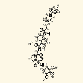 COc1cc(CNC(=O)C(=O)[C@@H]2CCCN2C(=O)CNC(=O)c2ccnc3c(NC(=O)CCC[N+]4(C)CCN(C(=O)OC(C)(C)C)CC4)cccc23)cc(OC)c1OC.[I-]